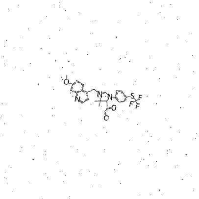 COc1ccc2c(CN3CN(c4ccc(SC(F)(F)F)cc4)C(C(=O)C=O)C3(C)C)ccnc2c1